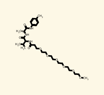 COCCOCCOCCOCCOCCOCCC(=O)NC(C(=O)N[C@@H](C)C(=O)Nc1ccc(C)cc1)C(C)C